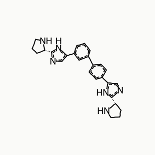 c1cc(-c2ccc(-c3cnc([C@@H]4CCCN4)[nH]3)cc2)cc(-c2cnc([C@@H]3CCCN3)[nH]2)c1